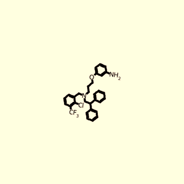 Nc1cccc(OCCCN(Cc2cccc(C(F)(F)F)c2Cl)CC(c2ccccc2)c2ccccc2)c1